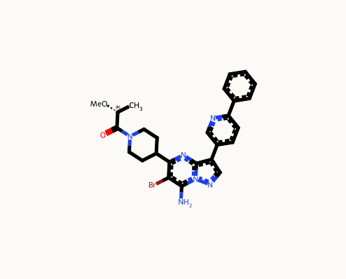 CO[C@H](C)C(=O)N1CCC(c2nc3c(-c4ccc(-c5ccccc5)nc4)cnn3c(N)c2Br)CC1